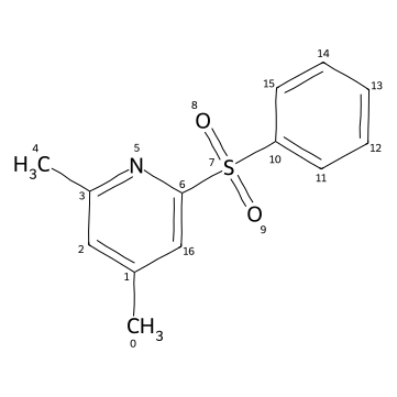 Cc1cc(C)nc(S(=O)(=O)c2ccccc2)c1